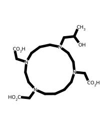 CC(O)CN1CCCN(CC(=O)O)CCN(CC(=O)O)CCCCN(CC(=O)O)CC1